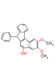 COc1cc2c(O)cc3c(c2cc1OC)-c1ccccc1C3c1ccccc1